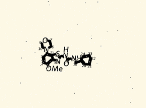 COc1ccc(N2CCOCC2)c2sc(NC(=O)NCc3ccccc3)nc12